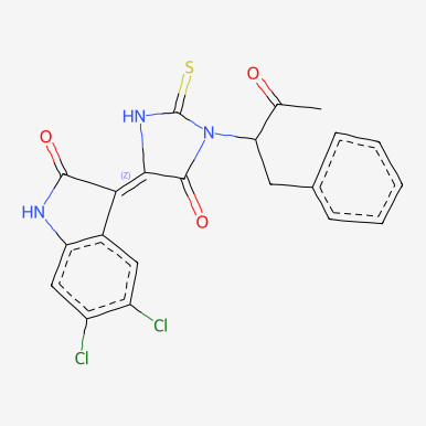 CC(=O)C(Cc1ccccc1)N1C(=O)/C(=C2/C(=O)Nc3cc(Cl)c(Cl)cc32)NC1=S